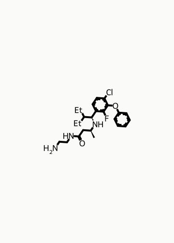 CCC(CC)[C@@H](N[C@@H](C)CC(=O)NCCN)c1ccc(Cl)c(Oc2ccccc2)c1F